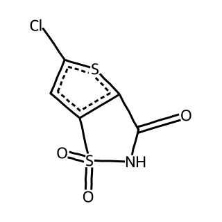 O=C1NS(=O)(=O)c2cc(Cl)sc21